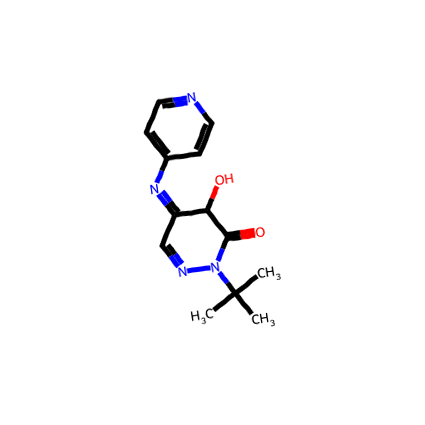 CC(C)(C)N1N=CC(=Nc2ccncc2)C(O)C1=O